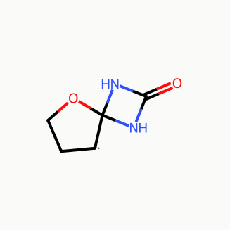 O=C1NC2([CH]CCO2)N1